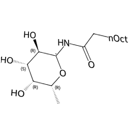 CCCCCCCCCC(=O)N[C]1O[C@H](C)[C@H](O)[C@H](O)[C@H]1O